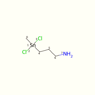 [CH3][Sn]([Cl])([Cl])[CH2]CCN